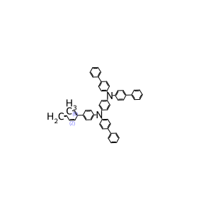 C=C/C=C\C(=C/C)c1ccc(N(c2ccc(-c3ccccc3)cc2)c2ccc(N(c3ccc(-c4ccccc4)cc3)c3ccc(-c4ccccc4)cc3)cc2)cc1